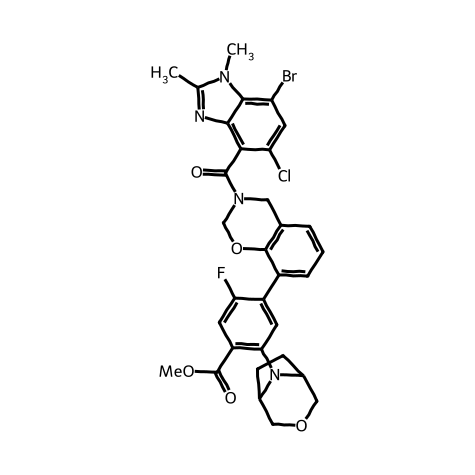 COC(=O)c1cc(F)c(-c2cccc3c2OCN(C(=O)c2c(Cl)cc(Br)c4c2nc(C)n4C)C3)cc1N1C2CCC1COC2